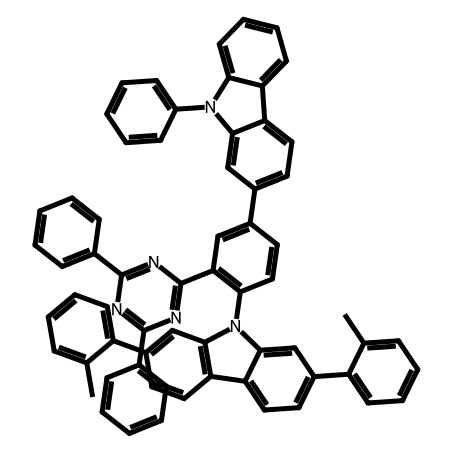 Cc1ccccc1-c1ccc2c3ccc(-c4ccccc4C)cc3n(-c3ccc(-c4ccc5c6ccccc6n(-c6ccccc6)c5c4)cc3-c3nc(-c4ccccc4)nc(-c4ccccc4)n3)c2c1